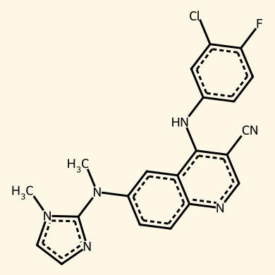 CN(c1ccc2ncc(C#N)c(Nc3ccc(F)c(Cl)c3)c2c1)c1nccn1C